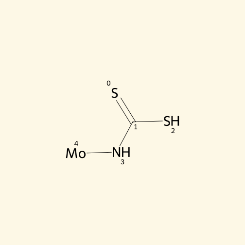 S=C(S)[NH][Mo]